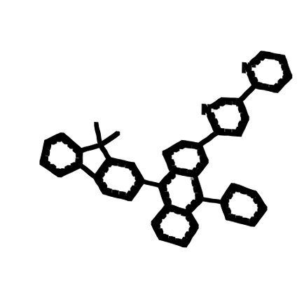 CC1(C)c2ccccc2-c2ccc(-c3c4ccccc4c(-c4ccccc4)c4cc(-c5ccc(-c6ccccn6)cn5)ccc34)cc21